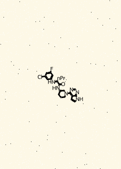 CCC[C@@H](Nc1cc(F)cc(Cl)c1)C(=O)N[C@@H]1CCCN(c2ncnc3[nH]ccc23)C1